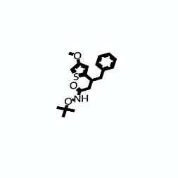 COc1csc(C(CC(=O)NOC(C)(C)C)Cc2ccccc2)c1